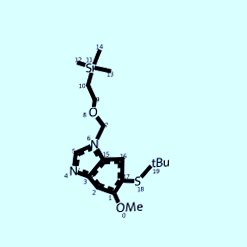 COc1cc2ncn(COCC[Si](C)(C)C)c2cc1SC(C)(C)C